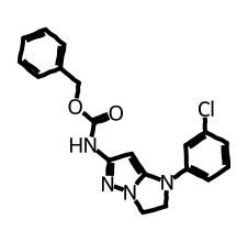 O=C(Nc1cc2n(n1)CCN2c1cccc(Cl)c1)OCc1ccccc1